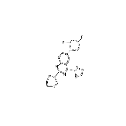 Fc1ccc(-c2ccc3nc(-c4cccnc4)nc(-c4nccs4)c3c2)c(F)c1